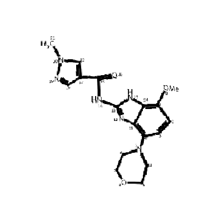 COc1ccc(N2CCOCC2)c2nc(NC(=O)c3cnn(C)c3)[nH]c12